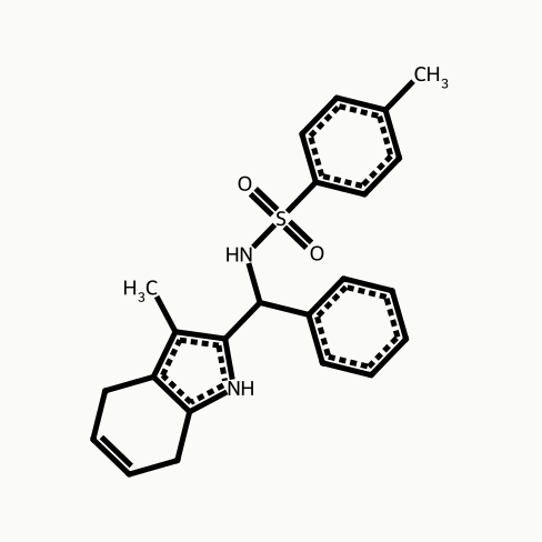 Cc1ccc(S(=O)(=O)NC(c2ccccc2)c2[nH]c3c(c2C)CC=CC3)cc1